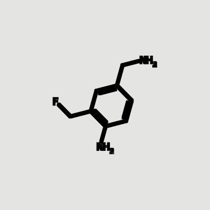 NCc1ccc(N)c(CF)c1